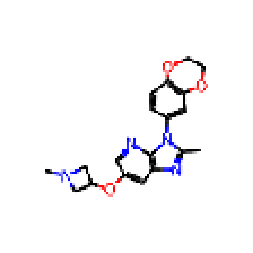 Cc1nc2cc(OC3CN(C)C3)cnc2n1-c1ccc2c(c1)OCCO2